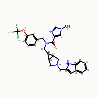 Cn1cnc(C(=O)N(Cc2cccc(OC(F)(F)F)c2)CC2C3CN(Cc4cc5ccccc5[nH]4)CC32)c1